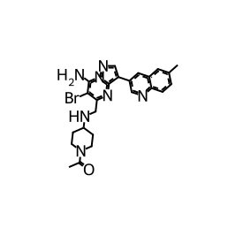 CC(=O)N1CCC(NCc2nc3c(-c4cnc5ccc(C)cc5c4)cnn3c(N)c2Br)CC1